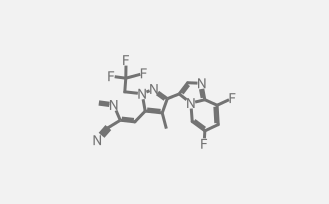 C=N/C(C#N)=C\c1c(C)c(-c2cnc3c(F)cc(F)cn23)nn1CC(F)(F)F